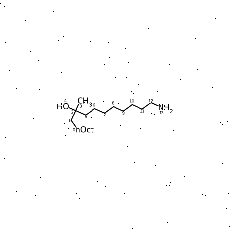 CCCCCCCCCC(C)(O)CCCCCCCCN